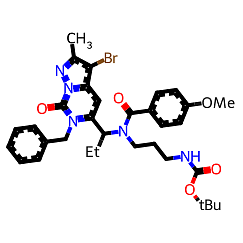 CCC(c1cc2c(Br)c(C)nn2c(=O)n1Cc1ccccc1)N(CCCNC(=O)OC(C)(C)C)C(=O)c1ccc(OC)cc1